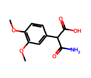 COc1ccc(C(C(N)=O)C(=O)O)cc1OC